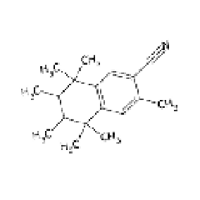 Cc1cc2c(cc1C#N)C(C)(C)C(C)C(C)C2(C)C